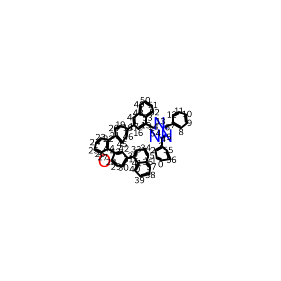 c1ccc(-c2nc(-c3ccccc3)nc(-c3cc(-c4ccc(-c5cccc6oc7ccc(-c8cccc9ccccc89)cc7c56)cc4)cc4ccccc34)n2)cc1